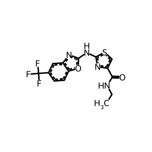 CCNC(=O)c1csc(Nc2nc3cc(C(F)(F)F)ccc3o2)n1